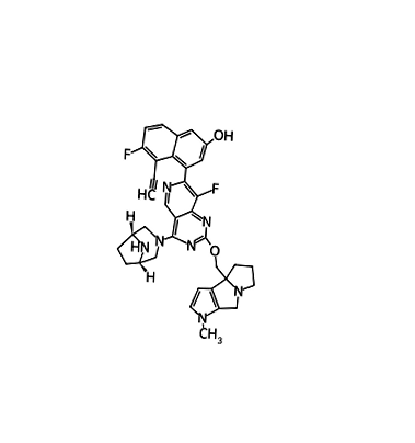 C#Cc1c(F)ccc2cc(O)cc(-c3ncc4c(N5C[C@H]6CC[C@@H](C5)N6)nc(OCC56CCCN5Cc5c6ccn5C)nc4c3F)c12